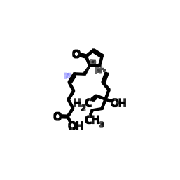 C=CC(O)(CC=C[C@H]1C=CC(=O)[C@@H]1C/C=C\CCCC(=O)O)CCC